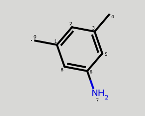 [CH2]c1cc(C)cc(N)c1